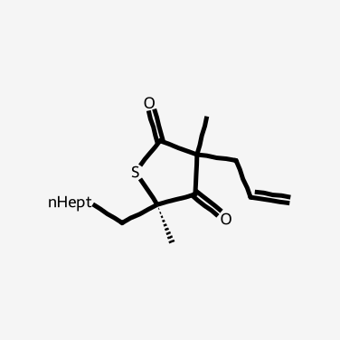 C=CCC1(C)C(=O)S[C@](C)(CCCCCCCC)C1=O